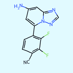 N#Cc1ccc(-c2cc(N)cc3ncnn23)c(F)c1F